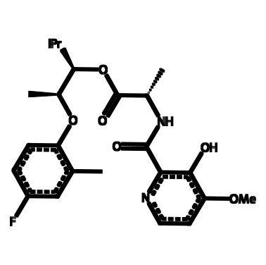 COc1ccnc(C(=O)N[C@@H](C)C(=O)O[C@H](C(C)C)[C@H](C)Oc2ccc(F)cc2C)c1O